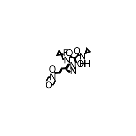 O=C(NC1CC1)c1c(O)n2ncc(C=CC(=O)N3CCOCC3)c2n(CC2(F)CC2)c1=O